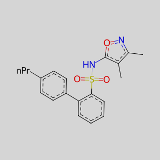 CCCc1ccc(-c2ccccc2S(=O)(=O)Nc2onc(C)c2C)cc1